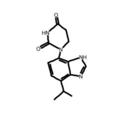 CC(C)c1ccc(N2CCC(=O)NC2=O)c2[nH]cnc12